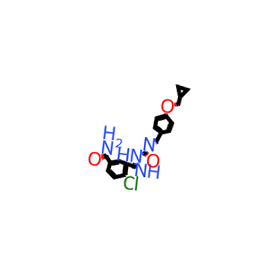 N=C(NC(=O)/N=C/c1ccc(OCC2CC2)cc1)c1cc(C(N)=O)ccc1Cl